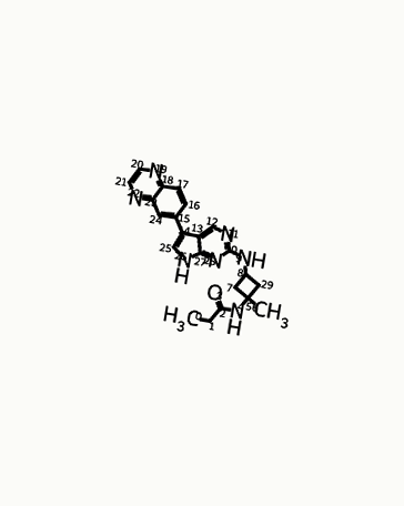 CCC(=O)NC1(C)CC(Nc2ncc3c(-c4ccc5nccnc5c4)c[nH]c3n2)C1